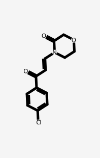 O=C(C=CN1CCOCC1=O)c1ccc(Cl)cc1